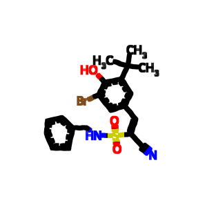 CC(C)(C)c1cc(C=C(C#N)S(=O)(=O)NCc2ccccc2)cc(Br)c1O